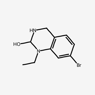 CCN1c2cc(Br)ccc2CNC1O